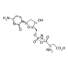 Nc1ccn([C@H]2C[C@H](O)[C@@H](COP(N)(=O)OC(=O)[C@@H](N)CC(=O)O)O2)c(=O)n1